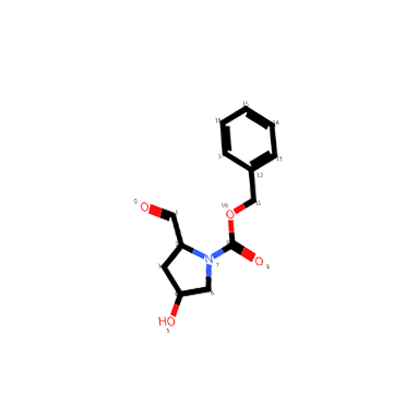 O=CC1CC(O)CN1C(=O)OCc1ccccc1